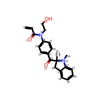 C=CC(=O)N(CCO)c1ccc(C(=O)C2(CC)Cc3ccccc3N2C)cc1